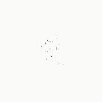 C[C@H]1[C@H]2[C@H](CN(C(=O)[C@@H](NC(=O)OC(C)(C)C)C(C)(C)C)[C@@H]2C(=O)O)[C@@H](C)C[C@H]1F